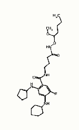 CCCCC(OC)ONC(=O)CCCNC(=O)c1cc(F)c(NC2CCCCC2)cc1NC1CCCC1